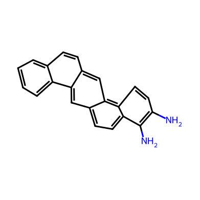 Nc1ccc2c(ccc3cc4c(ccc5ccccc54)cc32)c1N